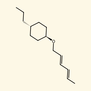 CC=CC=CCO[C@H]1CC[C@H](CCC)CC1